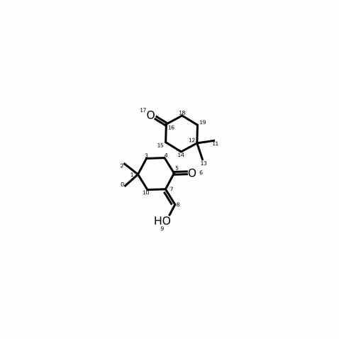 CC1(C)CCC(=O)C(=CO)C1.CC1(C)CCC(=O)CC1